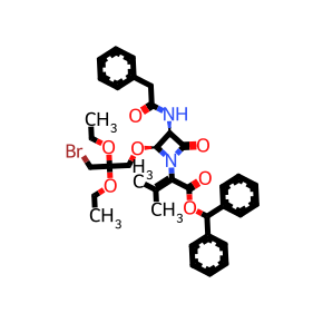 CCOC(CBr)(CO[C@H]1[C@@H](NC(=O)Cc2ccccc2)C(=O)N1C(C(=O)OC(c1ccccc1)c1ccccc1)=C(C)C)OCC